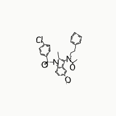 COc1ccc2c(c1)c(N(CCc1ccccc1)C(C)=O)c(C)n2C(=O)c1ccc(Cl)cc1